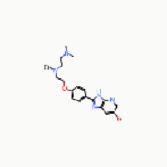 CCN(CCOc1ccc(-c2nc3cc(Br)cnc3[nH]2)cc1)CCN(C)C